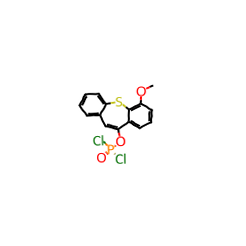 COc1cccc2c1Sc1ccccc1C=C2OP(=O)(Cl)Cl